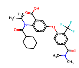 CC(C)N(C(=O)C1CCCCC1)c1ccc(Oc2ccc(C(=O)N(C)C)cc2C(F)(F)F)cc1C(=O)O